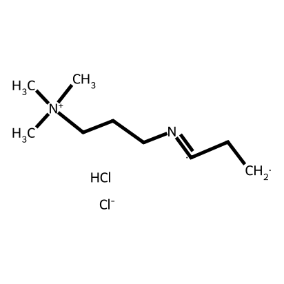 Cl.[CH2]C/[C]=N/CCC[N+](C)(C)C.[Cl-]